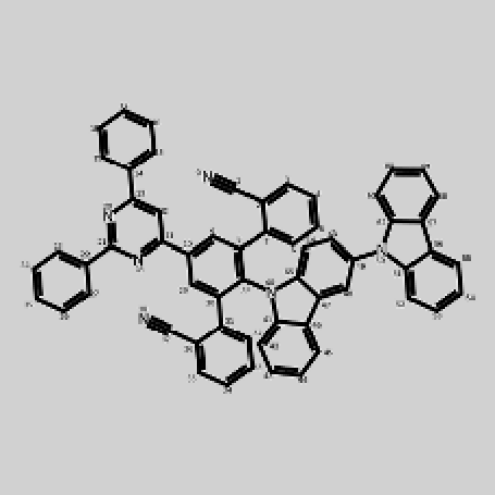 N#Cc1ccccc1-c1cc(-c2cc(-c3ccccc3)nc(-c3ccccc3)n2)cc(-c2ccccc2C#N)c1-n1c2ccccc2c2cc(-n3c4ccccc4c4ccccc43)ccc21